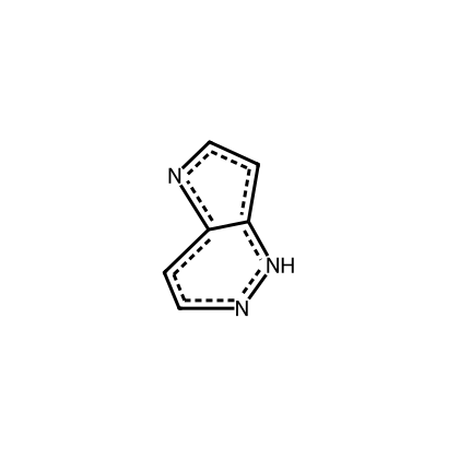 c1cc2nccc-2[nH]n1